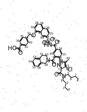 CCCCN(CCCC)C(=O)c1nn(-c2ccc(C(=O)NS(=O)(=O)c3ccc4cccc(OCc5ccc(C(=O)O)cc5)c4c3)cc2C(=O)N2CCc3ccccc3C2)c(C)c1Cl